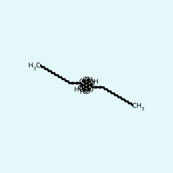 CCCCCCCCCCCCCCCCCCCC#CC#CCC(=O)c1c(C(=O)O)c(C(=O)O)c(C(=O)CC#CC#CCCCCCCCCCCCCCCCCCCC)c(C(=O)O)c1C(=O)O